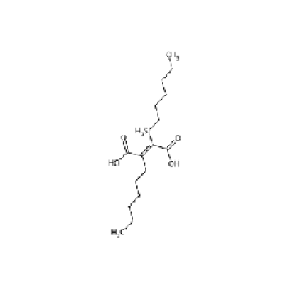 CCCCCC[SiH2]C(C(=O)O)=C(CCCCCC)C(=O)O